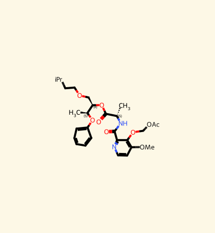 COc1ccnc(C(=O)N[C@@H](C)C(=O)O[C@H](COCCC(C)C)[C@H](C)Oc2ccccc2)c1OCOC(C)=O